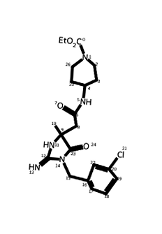 CCOC(=O)N1CCC(NC(=O)CC2(C)NC(=N)N(Cc3cccc(Cl)c3)C2=O)CC1